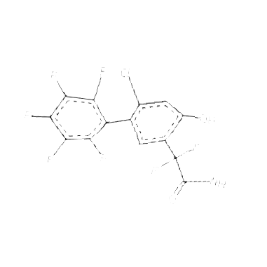 NC(=O)C(F)(F)c1cc(-c2c(F)c(F)c(F)c(F)c2F)c(Cl)cc1O